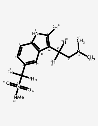 [2H]c1[nH]c2ccc(C([2H])([2H])S(=O)(=O)NC)cc2c1C([2H])([2H])CN(C)C